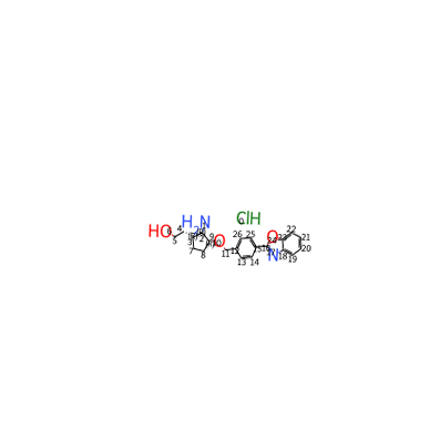 Cl.N[C@@H]1[C@@H](CCO)CC[C@H]1OCc1ccc(-c2nc3ccccc3o2)cc1